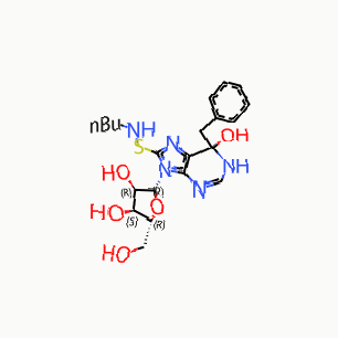 CCCCNSc1nc2c(n1[C@@H]1O[C@H](CO)[C@@H](O)[C@H]1O)N=CNC2(O)Cc1ccccc1